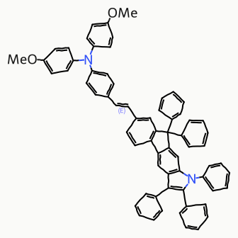 COc1ccc(N(c2ccc(/C=C/c3ccc4c(c3)C(c3ccccc3)(c3ccccc3)c3cc5c(cc3-4)c(-c3ccccc3)c(-c3ccccc3)n5-c3ccccc3)cc2)c2ccc(OC)cc2)cc1